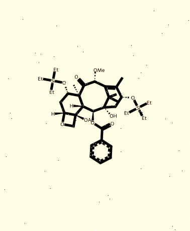 CC[Si](CC)(CC)O[C@H]1C[C@H]2OC[C@@]2(OC(C)=O)[C@H]2[C@H](OC(=O)c3ccccc3)[C@]3(O)C[C@@H](O[Si](CC)(CC)CC)C(C)=C([C@@H](OC)C(=O)[C@]12C)C3(C)C